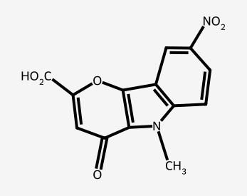 Cn1c2ccc([N+](=O)[O-])cc2c2oc(C(=O)O)cc(=O)c21